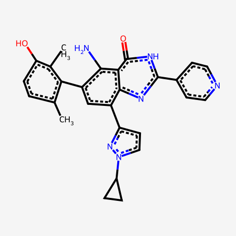 Cc1ccc(O)c(C)c1-c1cc(-c2ccn(C3CC3)n2)c2nc(-c3ccncc3)[nH]c(=O)c2c1N